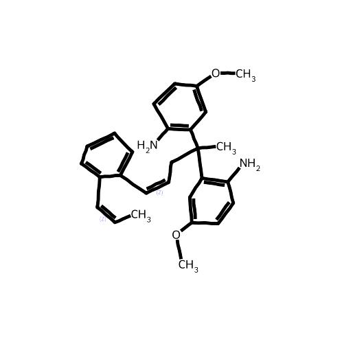 C/C=C\c1ccccc1/C=C\CC(C)(c1cc(OC)ccc1N)c1cc(OC)ccc1N